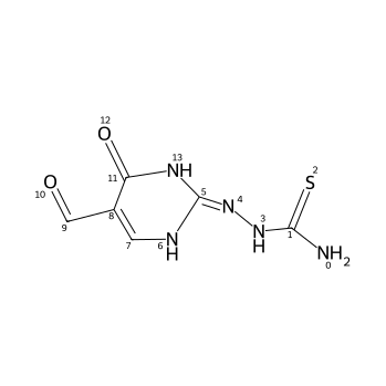 NC(=S)NN=c1[nH]cc(C=O)c(=O)[nH]1